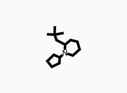 CC(C)(C)CC1CCCCN1C1CCCC1